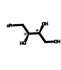 CCCC[C@H](O)[C@@H](O)CO